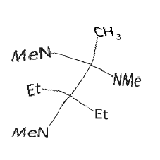 CCC(CC)(NC)C(C)(NC)NC